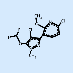 COc1nc(Cl)ccc1-c1nn(C)c(OC(F)F)c1Cl